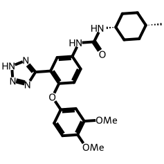 COc1ccc(Oc2ccc(NC(=O)N[C@H]3CC[C@@H](C)CC3)cc2-c2nn[nH]n2)cc1OC